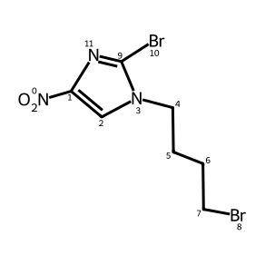 O=[N+]([O-])c1cn(CCCCBr)c(Br)n1